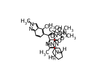 Cc1nc2c(-c3ccc4nn(C)cc4c3Cl)cn(S(=O)(=O)N(C)C)c2nc1N1[C@@H]2CC[C@H]1C[C@H](NC(=O)OC(C)(C)C)C2